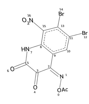 CC(=O)ON=C1C(=O)C(=O)Nc2c1cc(Br)c(Br)c2[N+](=O)[O-]